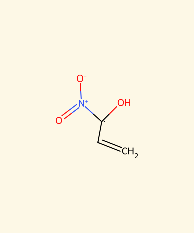 C=C[C](O)[N+](=O)[O-]